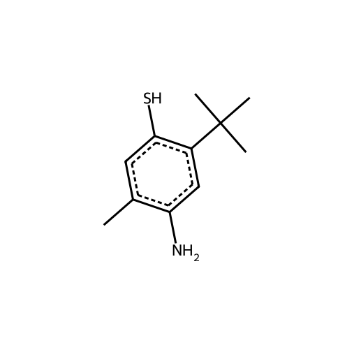 Cc1cc(S)c(C(C)(C)C)cc1N